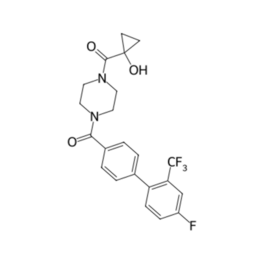 O=C(c1ccc(-c2ccc(F)cc2C(F)(F)F)cc1)N1CCN(C(=O)C2(O)CC2)CC1